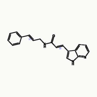 O=C(/C=C/c1c[nH]c2ncccc12)NC/C=C/c1ccccc1